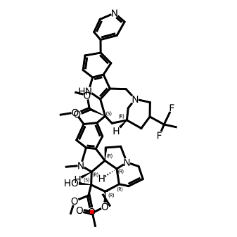 CC[C@]12C=CCN3CC[C@@]4(c5cc([C@@]6(C(=O)OC)C[C@H]7CC(C(C)(F)F)CN(Cc8c6[nH]c6ccc(-c9ccncc9)cc86)C7)c(OC)cc5N(C)[C@H]4[C@@](O)(C(=O)OC)[C@@H]1OC(C)=O)[C@@H]32